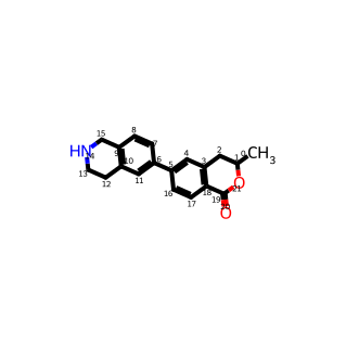 CC1Cc2cc(-c3ccc4c(c3)CCNC4)ccc2C(=O)O1